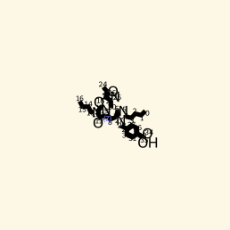 CCCCc1ncc(/C=C2/C(=O)N(CCCC)C(=O)N2Cc2cc(C)on2)n1Cc1ccc(C(=O)O)cc1